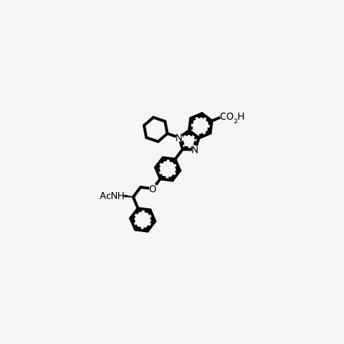 CC(=O)N[C@@H](COc1ccc(-c2nc3cc(C(=O)O)ccc3n2C2CCCCC2)cc1)c1ccccc1